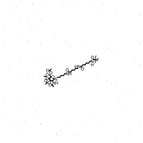 CC(=O)NC1[C@@H](OC(C)=O)[C@@H](OC(C)=O)C(COC(C)=O)O[C@H]1SCCCCCNC(=O)CCCCCNC(=O)CCCCCNC(=O)C(F)(F)F